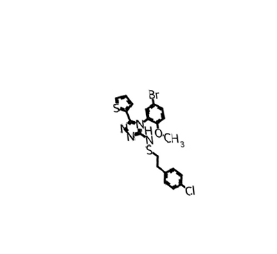 COc1ccc(Br)cc1-n1c(NSCCc2ccc(Cl)cc2)nnc1-c1cccs1